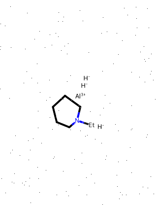 CCN1CCCCC1.[Al+3].[H-].[H-].[H-]